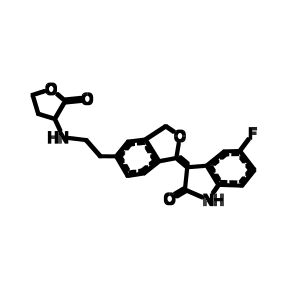 O=C1Nc2ccc(F)cc2C1=C1OCc2cc(CCNC3CCOC3=O)ccc21